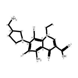 CCn1cc(C(=O)O)c(=O)c2c(N)c(F)c(N3CCC(CN)C3)c(F)c21